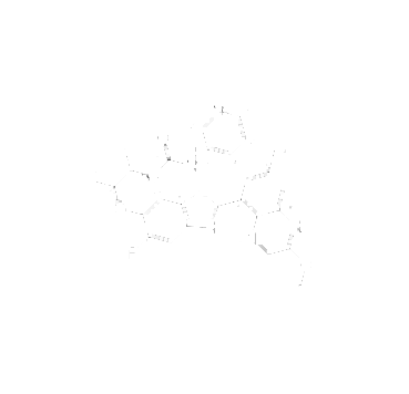 COc1cnc2c(-c3nc4cc(F)c(OC(C)C(C)OC(=O)Nc5cccnc5)cc4s3)cc(C)cc2n1